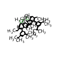 CCc1ccc2c(c1-c1cc(C(C)C)cc(C(C)C)c1)C=C(C(C)C)[CH]2[Zr]([Cl])([Cl])([CH]1C(C(C)C)=Cc2c1ccc(CC)c2-c1cc(C(C)C)cc(C(C)C)c1)[SiH](C)C